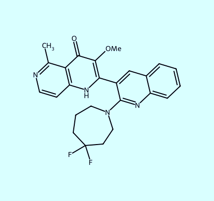 COc1c(-c2cc3ccccc3nc2N2CCCC(F)(F)CC2)[nH]c2ccnc(C)c2c1=O